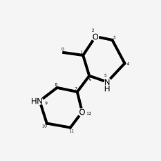 CC1OCCNC1C1CNCCO1